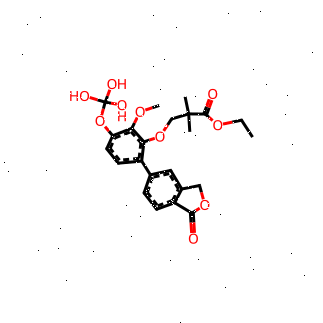 CCOC(=O)C(C)(C)COc1c(-c2ccc3c(c2)COC3=O)ccc(OC(O)(O)O)c1OC